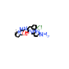 CC1CCC[C@H](C)N1CC(=O)NC(Cc1ccc(Cl)cc1)C(=O)NCc1ccc(N)nc1